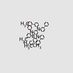 Cc1ccc(N2c3ccc(C)cc3B3c4cc(C(C)(C)C)ccc4N(c4ccccc4-c4ccccc4)c4cc(N(c5cccc(-c6ccccc6)c5)c5cccc(-c6ccccc6)c5)cc2c43)cc1